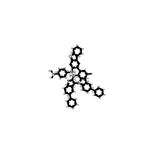 Cc1cc(-c2cc3c(cc2Nc2ccc(N(C)C)cc2)oc2ccccc23)c2c3c1c1cc(-c4ccccc4)ccc1n3-c1c(sc3ccc(-c4ccccc4)cc13)B2